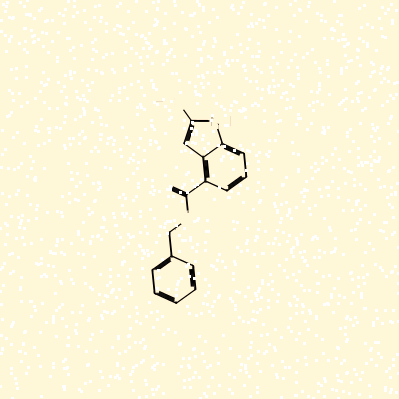 Cc1cc2c(C(=O)OCc3ccccc3)cccc2[nH]1